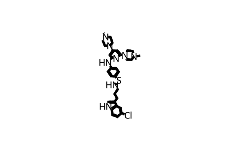 CN1CCN(c2cc(Nc3ccc(SNCCCc4c[nH]c5ccc(Cl)cc45)cc3)nc(N3CCN(C)CC3)c2)CC1